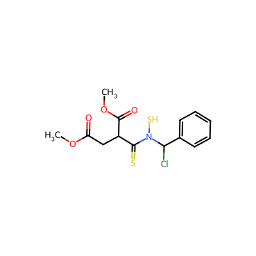 COC(=O)CC(C(=O)OC)C(=S)N(S)C(Cl)c1ccccc1